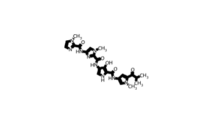 CC(C)C(=O)c1cc(NC(=O)c2[nH]cc(NC(=O)c3nc(NC(=O)c4nccn4C)cn3C)c2O)cn1C